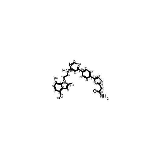 COc1ccc(F)c2c1cc(C)n2CCNc1cc(-c2ccc(-c3csc(CC(N)=O)n3)cc2)ncn1